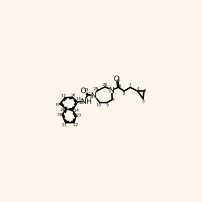 O=C(CCC1CC1)N1CCCN(C(=O)Nc2cccc3ccccc23)CC1